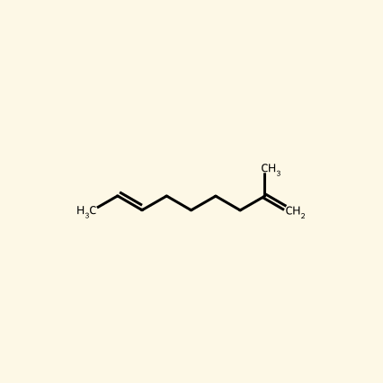 C=C(C)CCCCC=CC